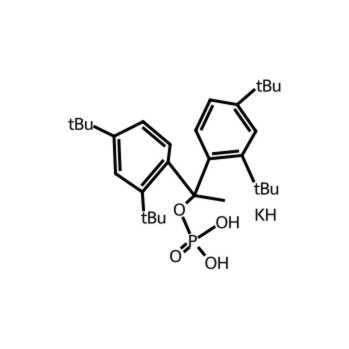 CC(C)(C)c1ccc(C(C)(OP(=O)(O)O)c2ccc(C(C)(C)C)cc2C(C)(C)C)c(C(C)(C)C)c1.[KH]